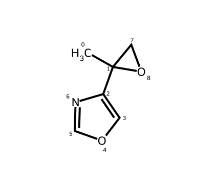 CC1(c2cocn2)CO1